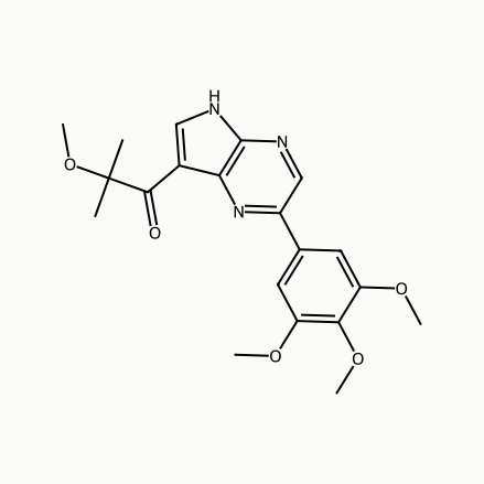 COc1cc(-c2cnc3[nH]cc(C(=O)C(C)(C)OC)c3n2)cc(OC)c1OC